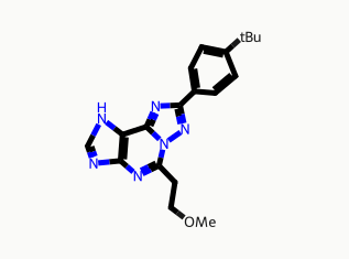 COCCc1nc2nc[nH]c2c2nc(-c3ccc(C(C)(C)C)cc3)nn12